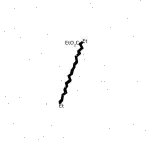 CC/C=C/C/C=C/C/C=C/C/C=C/C/C=C/C/C=C/CC(CC)C(=O)OCC